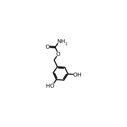 NC(=O)OCc1cc(O)cc(O)c1